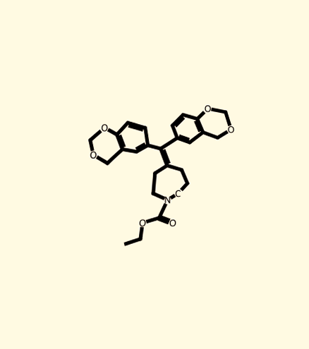 CCOC(=O)N1CCCC(=C(c2ccc3c(c2)COCO3)c2ccc3c(c2)COCO3)CC1